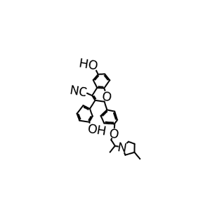 CC1CCN(C(C)COc2ccc(C3Oc4ccc(O)cc4C(C#N)=C3c3cccc(O)c3)cc2)C1